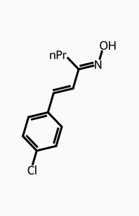 CCCC(/C=C/c1ccc(Cl)cc1)=N\O